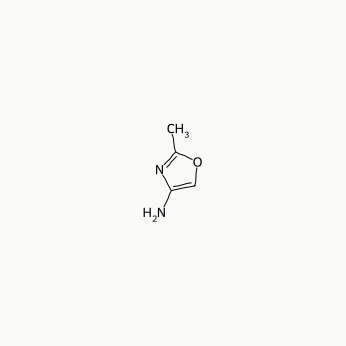 Cc1nc(N)co1